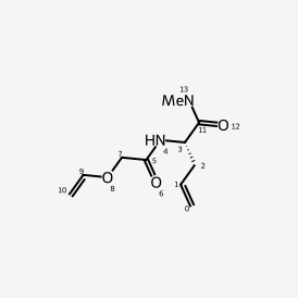 C=CC[C@H](NC(=O)COC=C)C(=O)NC